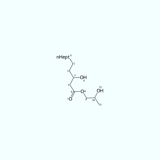 CCCCCCCCCC(O)CC(=O)OCC(C)O